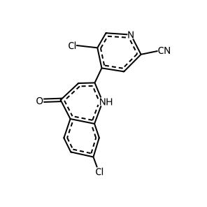 N#Cc1cc(-c2cc(=O)c3ccc(Cl)cc3[nH]2)c(Cl)cn1